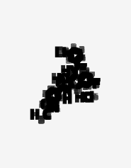 CCc1cccc(CNC[C@@H](O)[C@H](Cc2cc(F)cc(F)c2)NC(=O)c2ccc3oc(C)nc3c2)c1.Cl